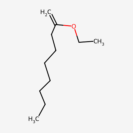 C=C(CCCCCCC)OCC